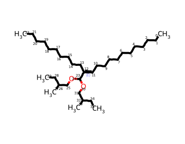 CCCCCCCCCCC/C=C(\CCCCCCCCCC)C(OCC(C)CC)OCC(C)CC